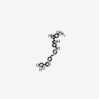 CC1(C)CCc2c(-c3cc4ccc(C(=O)N5CCN(CCC6CCN(c7cc(C8CCC(=O)NC8=O)ccn7)CC6)CC5)cc4[nH]3)n[nH]c2C1